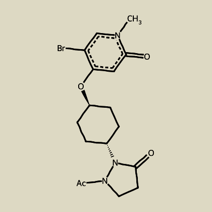 CC(=O)N1CCC(=O)N1[C@H]1CC[C@H](Oc2cc(=O)n(C)cc2Br)CC1